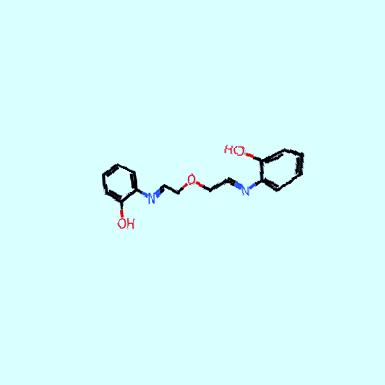 Oc1ccccc1N=CCOCC=Nc1ccccc1O